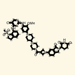 COc1cc(N2CCC(N3CCN(C(=O)C4CN(c5ccc6c(c5)C(=O)N(C5CCC(=O)NC5=O)C6)C4)CC3)CC2)ccc1Nc1ncc(Cl)c(Nc2cccc3c2N(S(C)(=O)=O)CC3)n1